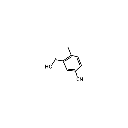 Cc1ccc(C#N)cc1[CH]O